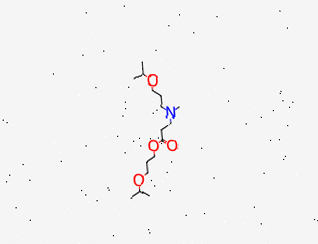 CC(C)OCCCOC(=O)CCN(C)CCCOC(C)C